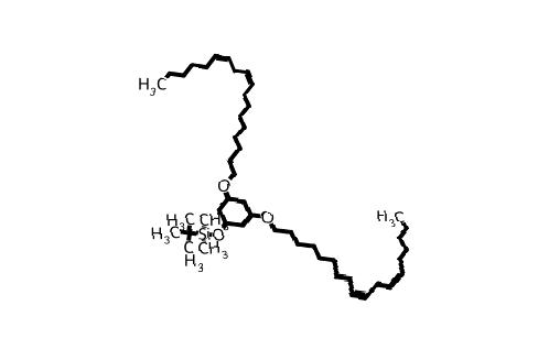 CCCCC/C=C\C/C=C\CCCCCCCCOC1CC(OCCCCCCCC/C=C\C/C=C\CCCCC)CC(O[Si](C)(C)C(C)(C)C)C1